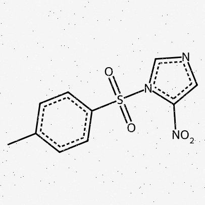 Cc1ccc(S(=O)(=O)n2cncc2[N+](=O)[O-])cc1